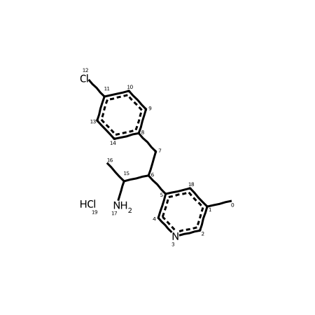 Cc1cncc(C(Cc2ccc(Cl)cc2)C(C)N)c1.Cl